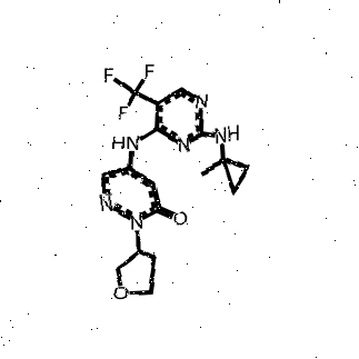 CC1(Nc2ncc(C(F)(F)F)c(Nc3cnn(C4CCOC4)c(=O)c3)n2)CC1